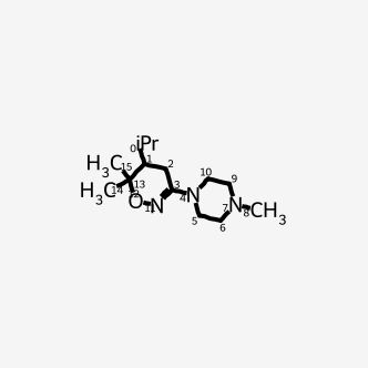 CC(C)C1CC(N2CCN(C)CC2)=NOC1(C)C